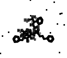 CC(C)[C@H](NC(=O)OC1(NC(=O)[C@](N)(C(=O)OCc2ccccc2)C(C)(C)S(C)(=O)=O)O[C@H]1CCCc1ccccc1)c1ccccc1